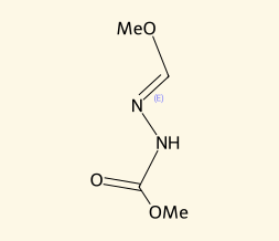 CO/C=N/NC(=O)OC